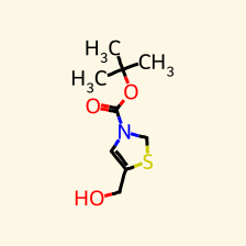 CC(C)(C)OC(=O)N1C=C(CO)SC1